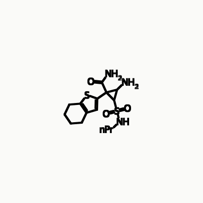 CCCNS(=O)(=O)C1C(N)C1(C(N)=O)c1cc2c(s1)CCCC2